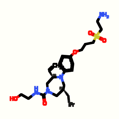 C=C[C@H]1CN(C(=O)NCCO)C[C@@H](CC(C)C)CN1c1ccc(OCCCS(=O)(=O)CCN)cc1